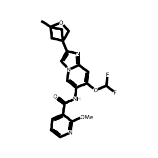 COc1ncccc1C(=O)Nc1cn2cc(C34COC(C)(C3)C4)nc2cc1OC(F)F